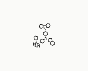 c1ccc(-c2nccnc2-c2ccc(N(c3ccc(-n4c5ccccc5c5ccccc54)cc3)c3ccc4ccccc4c3)cc2)cc1